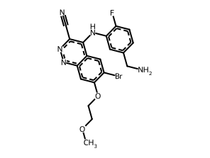 COCCOc1cc2nnc(C#N)c(Nc3cc(CN)ccc3F)c2cc1Br